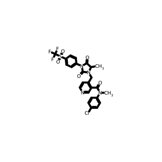 CC1C(=O)N(c2ccc(S(=O)(=O)C(F)(F)F)cc2)C(=O)N1Cc1ccncc1C(=O)N(C)c1ccc(Cl)cc1